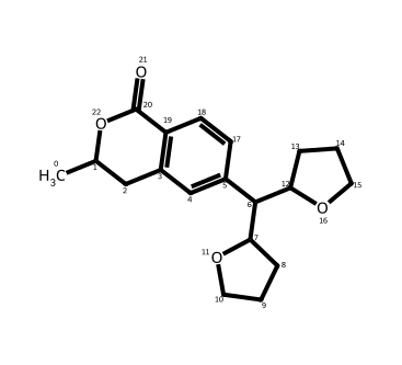 CC1Cc2cc(C(C3CCCO3)C3CCCO3)ccc2C(=O)O1